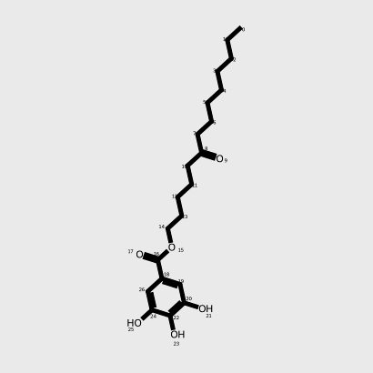 CCCCCCCCC(=O)CCCCCOC(=O)c1cc(O)c(O)c(O)c1